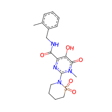 Cc1ccccc1CNC(=O)c1nc(N2CCCCS2(=O)=O)n(C)c(=O)c1O